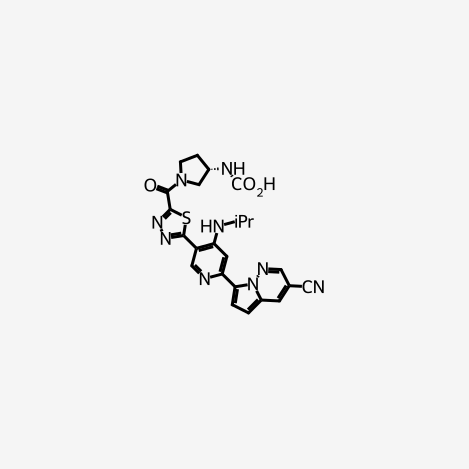 CC(C)Nc1cc(-c2ccc3cc(C#N)cnn23)ncc1-c1nnc(C(=O)N2CC[C@H](NC(=O)O)C2)s1